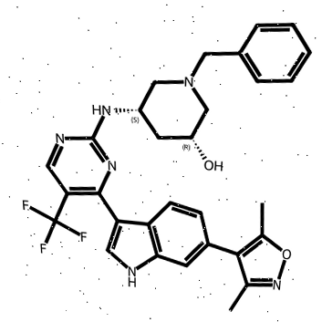 Cc1noc(C)c1-c1ccc2c(-c3nc(N[C@H]4C[C@@H](O)CN(Cc5ccccc5)C4)ncc3C(F)(F)F)c[nH]c2c1